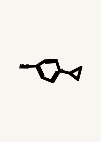 [CH2]Sc1cc[n+](C2CC2)cc1